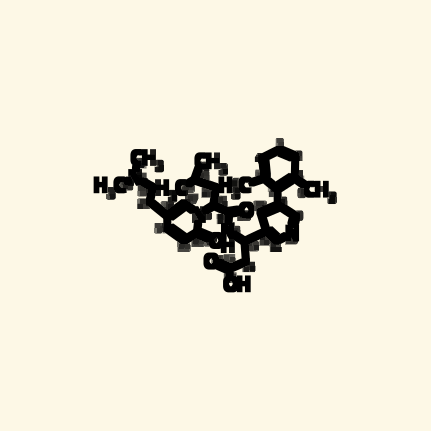 Cc1cccc(C)c1-c1cncc(C(CC(=O)O)NC(=O)C(CC(C)C)n2cc(CCN(C)C)ccc2=O)c1